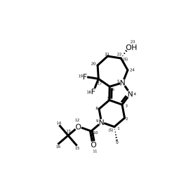 C[C@H]1Cc2nn3c(c2CN1C(=O)OC(C)(C)C)C(F)(F)CC[C@H](O)C3